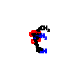 CCCCS(=O)(=O)N[C@@H](CN(C(=O)CN)C(=O)CCCCC1CCNCC1)C(=O)O